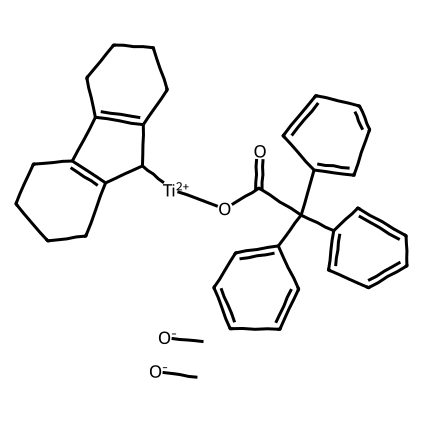 C[O-].C[O-].O=C([O][Ti+2][CH]1C2=C(CCCC2)C2=C1CCCC2)C(c1ccccc1)(c1ccccc1)c1ccccc1